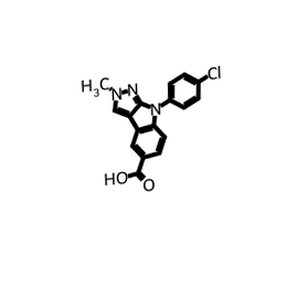 Cn1cc2c3cc(C(=O)O)ccc3n(-c3ccc(Cl)cc3)c2n1